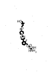 CC(C)(CO)CCON=C1CCN(c2ncc(-c3cccc(COC(=O)NC(=N)N)c3F)cn2)CC1